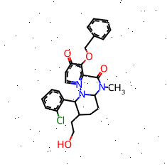 CN1C(=O)c2c(OCc3ccccc3)c(=O)ccn2N2C(c3ccccc3Cl)C(CCO)CCC12